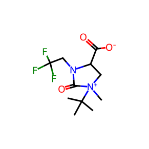 CC(C)(C)[N+]1(C)CC(C(=O)[O-])N(CC(F)(F)F)C1=O